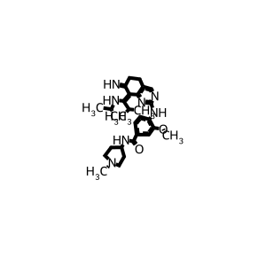 COc1cc(C(=O)NC2CCN(C)CC2)ccc1Nc1ncc2c(n1)/C(=C(/NC(C)C)C(C)C)C(=N)CC2